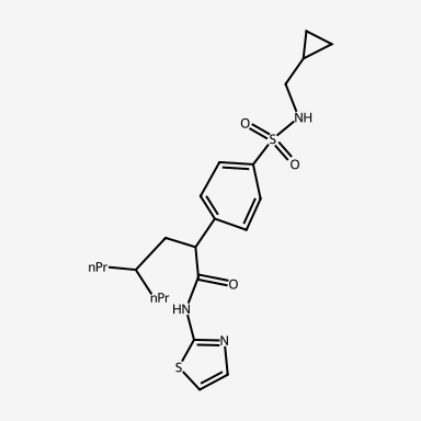 CCCC(CCC)CC(C(=O)Nc1nccs1)c1ccc(S(=O)(=O)NCC2CC2)cc1